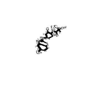 CC(O)(C(=O)Nc1ccc(Sc2nc3cc(Cl)ccc3s2)cc1Cl)C(F)(F)F